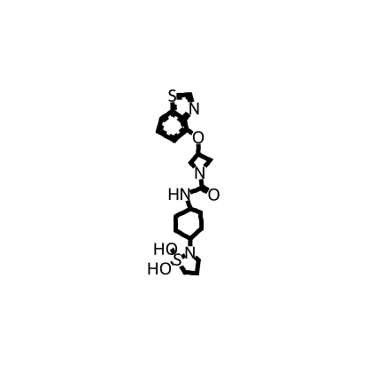 O=C(NC1CCC(N2CCCS2(O)O)CC1)N1CC(Oc2cccc3scnc23)C1